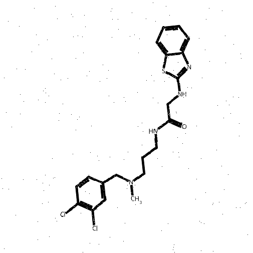 CN(CCCNC(=O)CNc1nc2ccccc2s1)Cc1ccc(Cl)c(Cl)c1